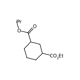 CCOC(=O)C1CCCC(C(=O)OC(C)C)C1